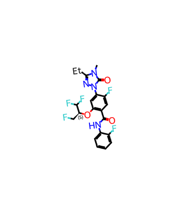 CCc1nn(-c2cc(O[C@@H](CF)C(F)F)c(C(=O)Nc3ccccc3F)cc2F)c(=O)n1C